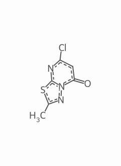 Cc1nn2c(=O)cc(Cl)nc2s1